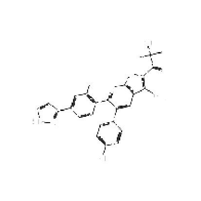 CC(C)(O)C(=O)c1oc2nc(-c3ccc(-c4cc[nH]n4)cc3Cl)c(-c3ccc(Cl)cc3)cc2c1N